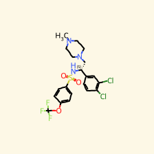 CN1CCN(C[C@@H](NS(=O)(=O)c2ccc(OC(F)(F)F)cc2)c2ccc(Cl)c(Cl)c2)CC1